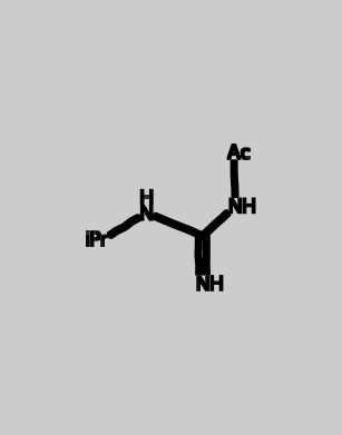 CC(=O)NC(=N)NC(C)C